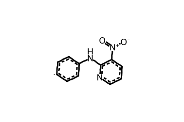 O=[N+]([O-])c1cccnc1Nc1cc[c]cc1